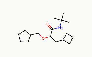 CC(C)(C)NC(=O)C(CC1CCC1)OCC1CCCC1